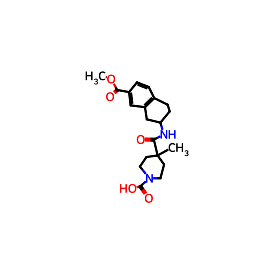 COC(=O)c1ccc2c(c1)CC(NC(=O)C1(C)CCN(C(=O)O)CC1)CC2